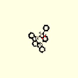 c1ccc(-c2ncc(-n3c4ccccc4c4ccc5c6ccccc6n(-c6ccccc6)c5c43)s2)cc1